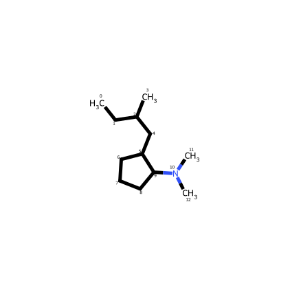 CCC(C)CC1CCCC1N(C)C